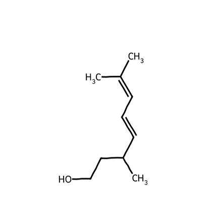 CC(C)=CC=CC(C)CCO